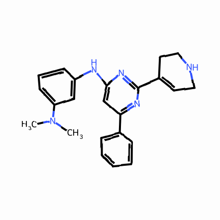 CN(C)c1cccc(Nc2cc(-c3ccccc3)nc(C3=CCNCC3)n2)c1